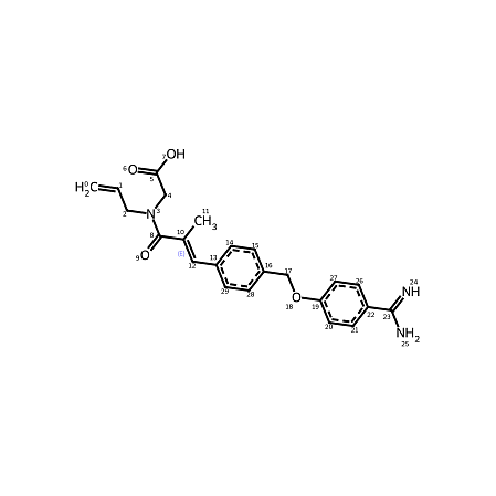 C=CCN(CC(=O)O)C(=O)/C(C)=C/c1ccc(COc2ccc(C(=N)N)cc2)cc1